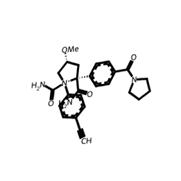 C#Cc1ccc([N+]2(C(N)=O)C[C@H](OC)C[C@]2(C(N)=O)c2ccc(C(=O)N3CCCC3)cc2)cc1